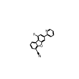 N#Cc1cccc2c1oc1cc(-c3ccccn3)cc(F)c12